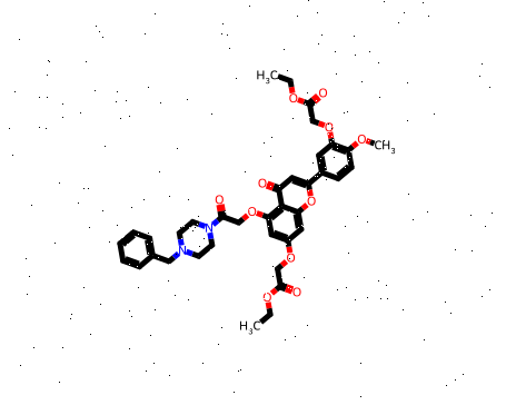 CCOC(=O)COc1cc(OCC(=O)N2CCN(Cc3ccccc3)CC2)c2c(=O)cc(-c3ccc(OC)c(OCC(=O)OCC)c3)oc2c1